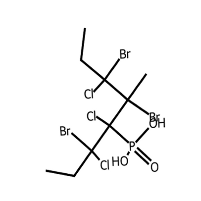 CCC(Cl)(Br)C(C)(Br)C(Cl)(C(Cl)(Br)CC)P(=O)(O)O